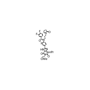 CCCn1c(=O)n(CCOC)c(=O)c2[nH]c(-c3ccc(N(CCCN4CCCC4=O)C(=O)c4ccc(F)c(F)c4)nc3)nc21